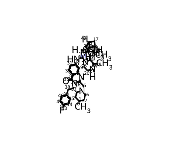 CC1CCN(Cc2nc3cc(N/C(=N/[C@H]4C[C@H]5C[C@@H]([C@@H]4C)C5(C)C)N4CCN[C@@H](C)C4)ccc3c(=O)n2CCc2ccc(F)cc2)CC1